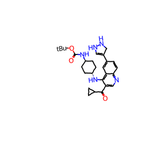 CC(C)(C)OC(=O)N[C@H]1CC[C@H](Nc2c(C(=O)C3CC3)cnc3ccc(C4=CNNC4)cc23)CC1